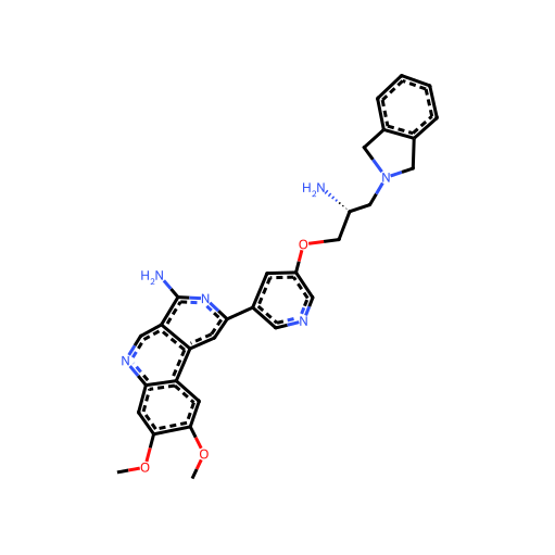 COc1cc2ncc3c(N)nc(-c4cncc(OC[C@H](N)CN5Cc6ccccc6C5)c4)cc3c2cc1OC